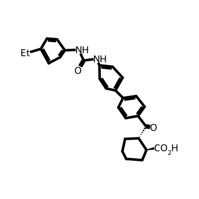 CCc1ccc(NC(=O)Nc2ccc(-c3ccc(C(=O)[C@H]4CCCC[C@@H]4C(=O)O)cc3)cc2)cc1